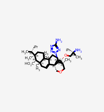 CC(C)[C@@H](C)[C@@]1(C)CC[C@]2(C)[C@H]3CC[C@@H]4[C@@]5(COC[C@]4(C)[C@@H](OC[C@](C)(N)C(C)C)[C@H](n4nnc(N)n4)C5)C3=CC[C@@]2(C)[C@@H]1C(=O)O